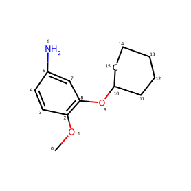 COc1ccc(N)cc1OC1CCCCC1